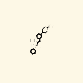 CC(C)N1CCC(c2ccc3[nH]c(C(=O)Nc4ccc(F)c(F)c4)cc3c2)CC1